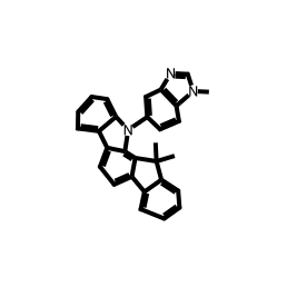 Cn1cnc2cc(-n3c4ccccc4c4ccc5c(c43)C(C)(C)c3ccccc3-5)ccc21